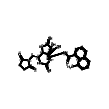 Cc1cccc2cccc(C(=O)NC3CN4C(=N)N[C@@H](CN5C(=O)CCC5=O)C5NC(=N)N[C@@]54C3(O)O)c12